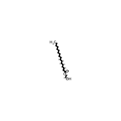 CCCCCCCCCCCCCCCC=CC(=O)OCCO